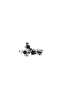 Cc1ncnc(C(=O)N2CCC3(CC2)C[C@H](C)c2c3c(=O)n3nc(-c4ccc(CN(C)C)c(F)c4F)nc3n2CC(=O)Nc2ccc(C(F)(F)F)cc2Cl)c1O